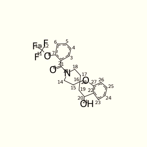 O=C(c1ccccc1OC(F)(F)F)N1CCC2(CC1)CC(O)c1ccccc1O2